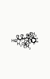 CC1(C)OCC(C(CCC(=O)CC(=O)O)(c2ccccc2)S(C)(=O)=O)O1